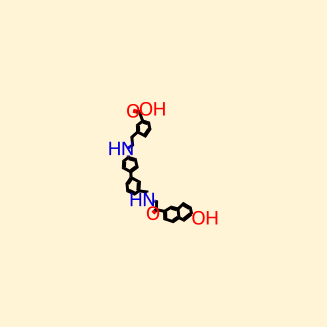 O=C(O)c1cccc(CCNc2ccc(-c3cccc(CNCC(=O)c4ccc5cc(O)ccc5c4)c3)cc2)c1